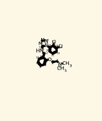 CN(C)CCOc1ccccc1CNc1nnnn1-c1cccc(Cl)c1Cl